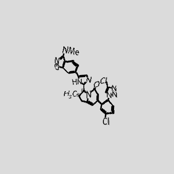 CNc1noc2cc(-c3cnc([C@@H]4[C@@H](C)Cc5cc(-c6cc(Cl)ccc6-n6cc(Cl)nn6)cc(=O)n54)[nH]3)ccc12